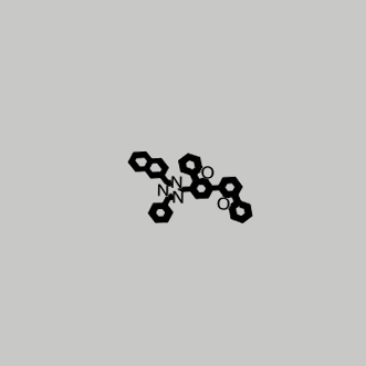 C1=CC2C=CC(c3nc(-c4ccccc4)nc(-c4ccc(-c5cccc6c5oc5ccccc56)c5oc6ccccc6c45)n3)=CC2C=C1